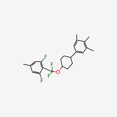 Cc1cc(F)c(C(F)(F)OC2CCC(c3cc(C)c(C)c(C)c3)CC2)c(F)c1